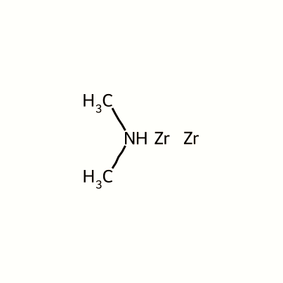 CNC.[Zr].[Zr]